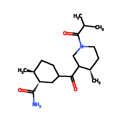 CC(C)C(=O)N1CC[C@H](C)C(C(=O)C2CC[C@H](C)[C@@H](C(N)=O)C2)C1